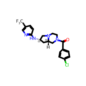 O=C(c1ccc(Cl)cc1)N1CCN2C[C@@H](Nc3ccc(C(F)(F)F)cn3)C[C@H]2C1